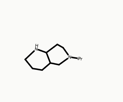 CC(C)N1CCC2NCCCC2C1